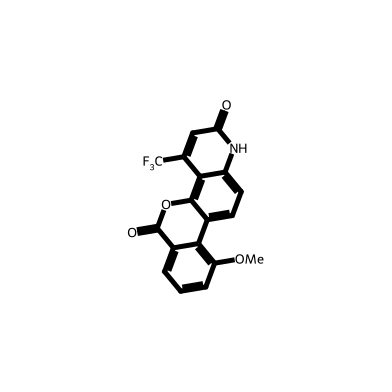 COc1cccc2c(=O)oc3c(ccc4[nH]c(=O)cc(C(F)(F)F)c43)c12